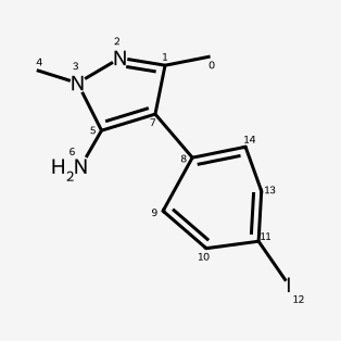 Cc1nn(C)c(N)c1-c1ccc(I)cc1